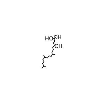 CC(C)CCCC(C)CCCC(C)CCCC(O)CCC(O)O